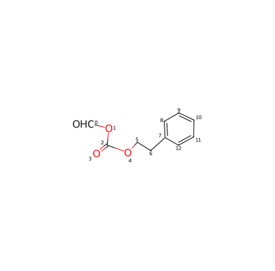 O=COC(=O)OCCc1ccccc1